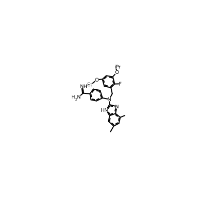 CCOc1cc(CN(c2ccc(C(=N)N)cc2)c2nc3c(C)cc(C)cc3[nH]2)c(F)c(OC(C)C)c1